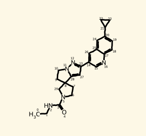 CCNC(=O)N1CCC2(CCn3nc(-c4cnc5ccc(C6CC6)cc5c4)cc32)C1